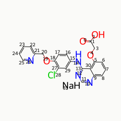 O=C(O)COc1cccc2ncnc(Nc3ccc(OCc4ccccn4)c(Cl)c3)c12.[NaH]